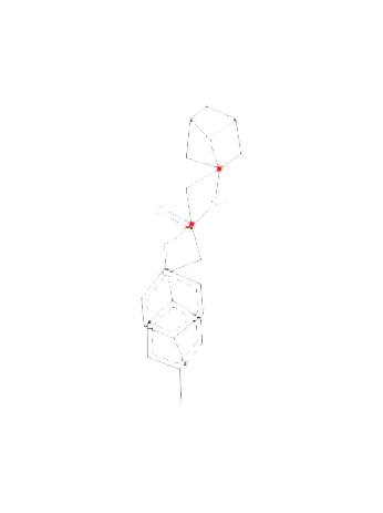 Cc1ccc(OCCCN2C3CC(NC(=O)COc4ccc(C)cc4)CC2C3)cc1